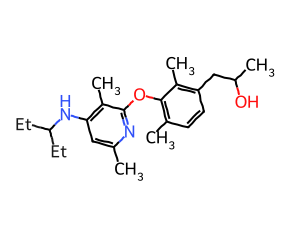 CCC(CC)Nc1cc(C)nc(Oc2c(C)ccc(CC(C)O)c2C)c1C